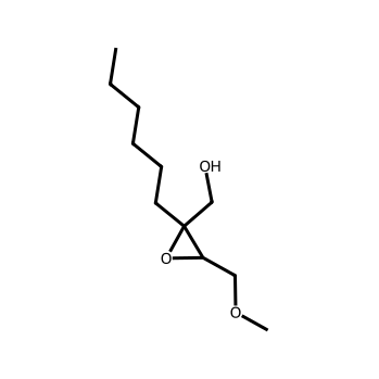 CCCCCCC1(CO)OC1COC